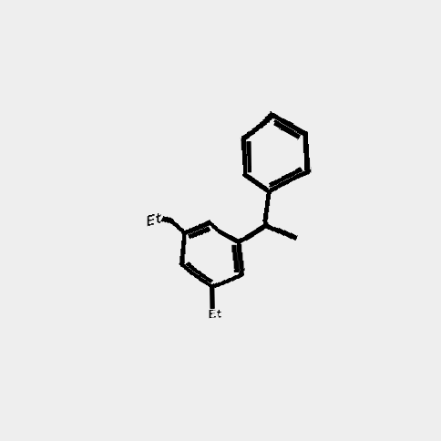 CCc1cc(CC)cc(C(C)c2ccccc2)c1